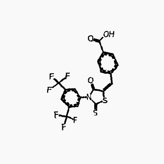 O=C(O)c1ccc(C=C2SC(=S)N(c3cc(C(F)(F)F)cc(C(F)(F)F)c3)C2=O)cc1